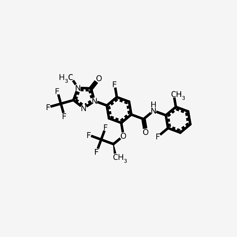 Cc1cccc(F)c1NC(=O)c1cc(F)c(-n2nc(C(F)(F)F)n(C)c2=O)cc1O[C@@H](C)C(F)(F)F